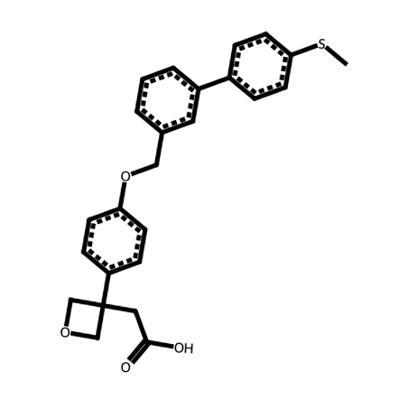 CSc1ccc(-c2cccc(COc3ccc(C4(CC(=O)O)COC4)cc3)c2)cc1